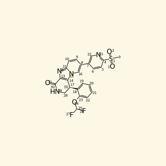 CS(=O)(=O)c1ccc(-c2ccc3nc4c(n3c2)[C@@H](c2ccccc2OC(F)F)CNC4=O)cn1